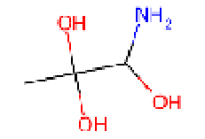 CC(O)(O)C(N)O